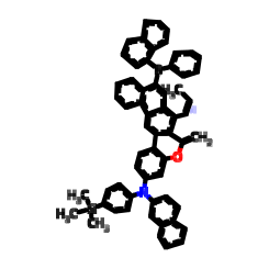 C=C1Oc2cc(N(c3ccc([Si](C)(C)C)cc3)c3ccc4ccccc4c3)ccc2-c2cc3c(cc(B(c4ccccc4)c4cccc5ccccc45)c4ccccc43)c(/C=C\C)c21